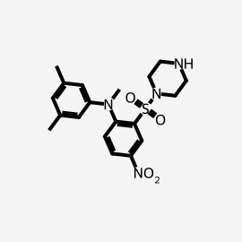 Cc1cc(C)cc(N(C)c2ccc([N+](=O)[O-])cc2S(=O)(=O)N2CCNCC2)c1